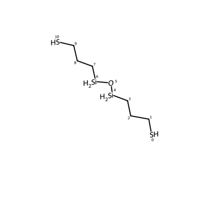 SCCC[SiH2]O[SiH2]CCCS